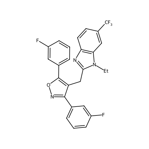 CCn1c(Cc2c(-c3cccc(F)c3)noc2-c2cccc(F)c2)nc2ccc(C(F)(F)F)cc21